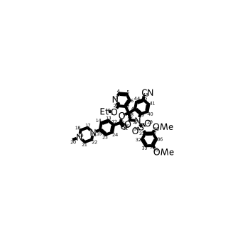 CCOc1ncccc1C1(OC(=O)c2ccc(N3CCN(C)CC3)cc2)C(=O)N(S(=O)(=O)c2ccc(OC)cc2OC)c2ccc(C#N)cc21